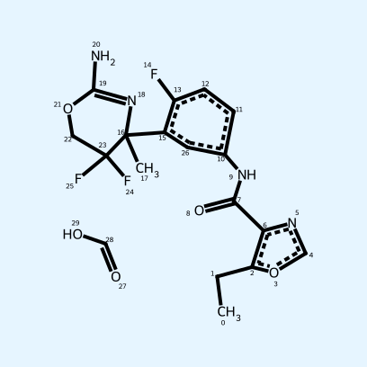 CCc1ocnc1C(=O)Nc1ccc(F)c(C2(C)N=C(N)OCC2(F)F)c1.O=CO